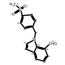 CS(=O)(=O)c1ccc(Cn2ccc3cccc(C=O)c32)cc1